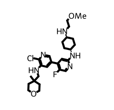 COCCN[C@H]1CC[C@H](Nc2cc(-c3cnc(Cl)c(NCC4(C)CCOCC4)c3)c(F)cn2)CC1